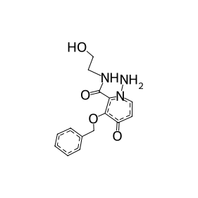 Nn1ccc(=O)c(OCc2ccccc2)c1C(=O)NCCO